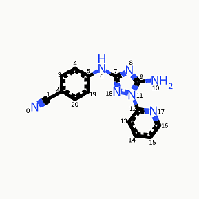 N#Cc1ccc(Nc2nc(N)n(-c3ccccn3)n2)cc1